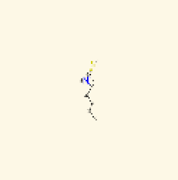 CCCCC[N+]=C=S